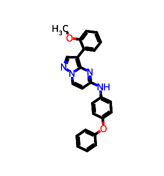 COc1ccccc1-c1cnn2ccc(Nc3ccc(Oc4ccccc4)cc3)nc12